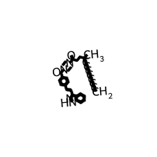 C=C=C=C=C=C=C=C=C(C)CCC(=O)N1CCN(C(=O)c2ccc(/C=C/c3n[nH]c4ccccc34)cc2)CC1